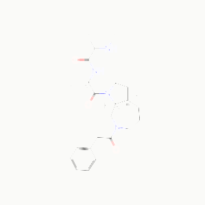 CNC(C)C(=O)N[C@@H](C)C(=O)N1CC[C@H]2CCCN(C(=O)Cc3ccccc3)C[C@H]21